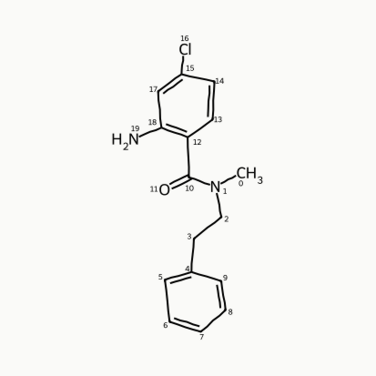 CN(CCc1ccccc1)C(=O)c1ccc(Cl)cc1N